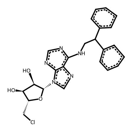 O[C@@H]1[C@H](O)[C@@H](CCl)O[C@H]1n1cnc2c(NCC(c3ccccc3)c3ccccc3)ncnc21